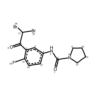 O=C(c1cc(NC(=O)N2CCCC2)ccc1F)C(Br)Br